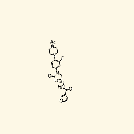 CC(=O)N1CCN(c2ccc(N3C[C@H](CNC(=O)c4ccoc4)OC3=O)cc2F)CC1